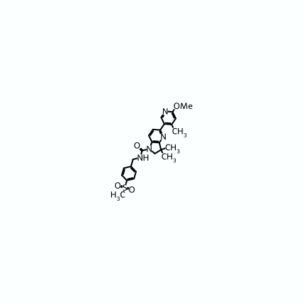 COc1cc(C)c(-c2ccc3c(n2)C(C)(C)CN3C(=O)NCc2ccc(S(C)(=O)=O)cc2)cn1